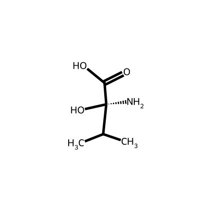 CC(C)[C@@](N)(O)C(=O)O